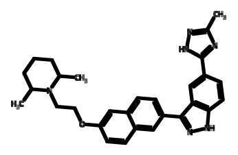 Cc1n[nH]c(-c2ccc3[nH]nc(-c4ccc5cc(OCCN6C(C)CCCC6C)ccc5c4)c3c2)n1